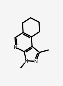 Cc1nn(C)c2ncc3c(c12)CCCC3